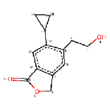 O=C1OCc2cc(CCO)c(C3CC3)cc21